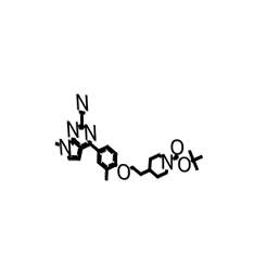 Cc1cc(-c2nc(C#N)nc3c2ccn3C)ccc1OCCC1CCN(C(=O)OC(C)(C)C)CC1